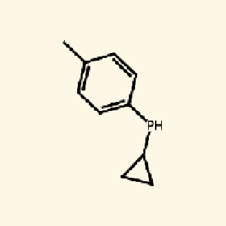 Cc1ccc(PC2CC2)cc1